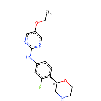 Fc1cc(Nc2ncc(OCC(F)(F)F)cn2)ccc1[C@@H]1CNCCO1